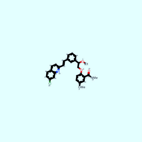 CCOC(COc1ccc(OC)cc1C(=O)NC)c1cccc(/C=C/c2ccc3ccc(Cl)cc3n2)c1